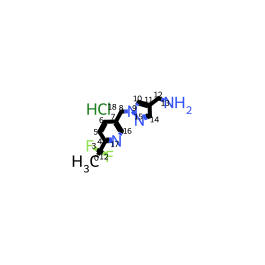 CC(F)(F)c1ccc(Cn2cc(CN)cn2)cn1.Cl